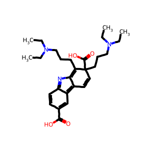 CCN(CC)CCCC1=C2N=c3ccc(C(=O)O)cc3=C2C=CC1(CCCN(CC)CC)C(=O)O